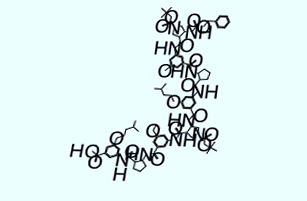 COc1cc(NC(=O)C2CN(C(=O)OC(C)(C)C)CC2NC(=O)OCc2ccccc2)cc(C(=O)NC2CCCC2C(=O)Nc2cc(OCCC(C)C)cc(C(=O)NC3CN(C(=O)OC(C)(C)C)CC3C(=O)Nc3cc(OC)cc(C(=O)NC4CCCC4C(=O)Nc4cc(OCCC(C)C)cc(C(=O)O)c4)c3)c2)c1